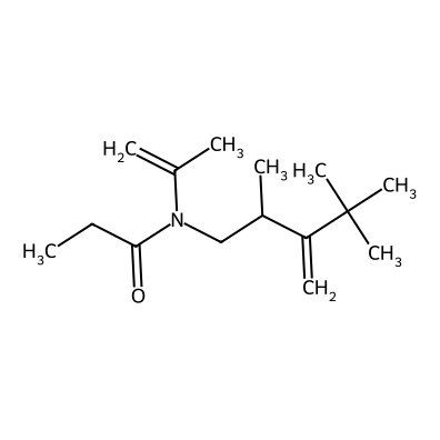 C=C(C)N(CC(C)C(=C)C(C)(C)C)C(=O)CC